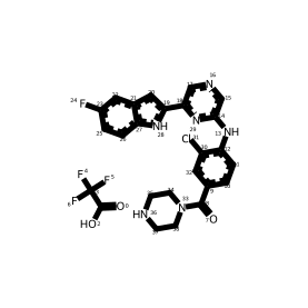 O=C(O)C(F)(F)F.O=C(c1ccc(Nc2cncc(-c3cc4cc(F)ccc4[nH]3)n2)c(Cl)c1)N1CCNCC1